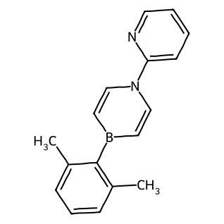 Cc1cccc(C)c1B1C=CN(c2ccccn2)C=C1